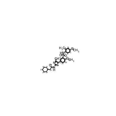 COc1ccc(NS(=O)(=O)c2cc(-c3sc(NC(=O)CC4CCCCC4)nc3C)ccc2OC)c(C)c1